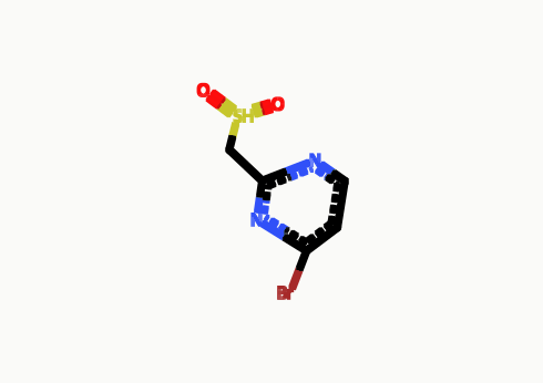 O=[SH](=O)Cc1nccc(Br)n1